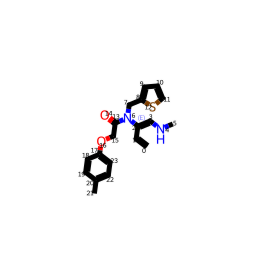 C=C/C(=C\NC)N(Cc1cccs1)C(=O)COc1ccc(C)cc1